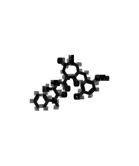 CC[C@@H](NC(=O)N1CC(=O)NCC(Cc2cc(Cl)ccc2OC)C1=O)C(=O)N(C)c1ccccc1